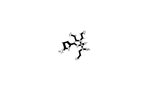 CCCN(CCCl)P(=O)(OCc1ccc(C)o1)N(CCCl)CCCl